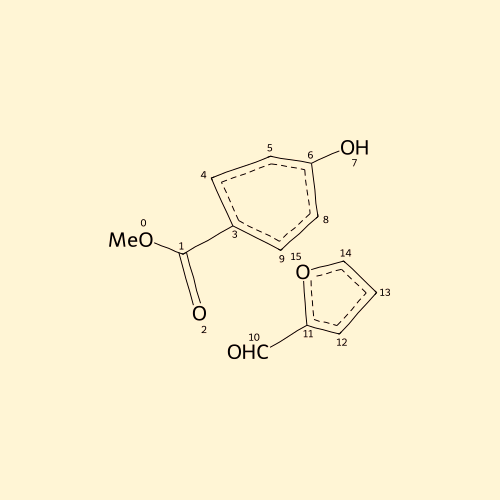 COC(=O)c1ccc(O)cc1.O=Cc1ccco1